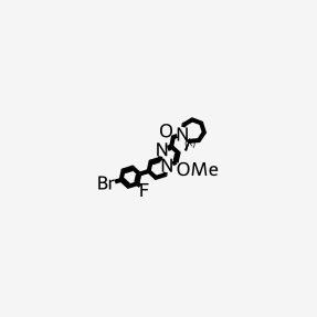 COC1=CC(C(=O)N2CCCCC[C@H]2C)=NC2=CC(c3ccc(Br)cc3F)CCN21